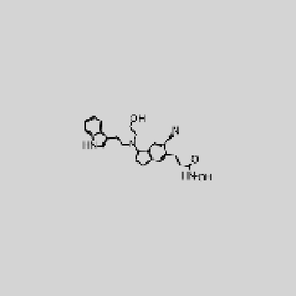 N#Cc1cc2c(cc1CCC(=O)NO)CCC2N(CCO)CCc1c[nH]c2ccccc12